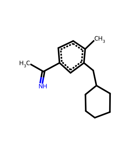 CC(=N)c1ccc(C)c(CC2CCCCC2)c1